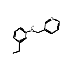 CCc1cccc(NCc2cccnc2)c1